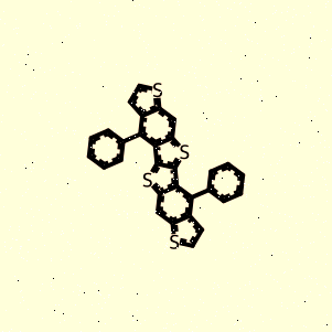 c1ccc(-c2c3ccsc3cc3sc4c(sc5cc6sccc6c(-c6ccccc6)c54)c23)cc1